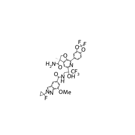 COc1cc(C(=O)NC[C@](O)(c2cc3c(c(-c4ccc5c(c4)OC(F)(F)O5)n2)OC[C@]3(C)C(N)=O)C(F)(F)F)cc2cn(C3(F)CC3)nc12